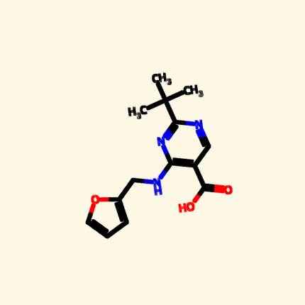 CC(C)(C)c1ncc(C(=O)O)c(NCc2ccco2)n1